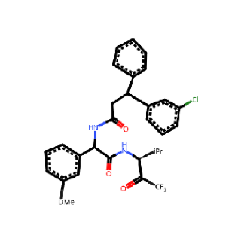 COc1cccc(C(NC(=O)CC(c2ccccc2)c2cccc(Cl)c2)C(=O)N[C@H](C(=O)C(F)(F)F)C(C)C)c1